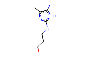 Cc1nc(NCCCO)[nH]c1N